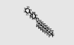 FC(F)(F)C(F)(F)C(F)(F)C(F)(F)C(F)(F)C(F)(F)C(F)(F)COc1cnc(C2=CC[CH]C=C2)nc1